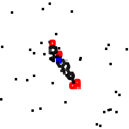 COc1ccc(C2(C(=O)N3CC=C4C(C)(C)C(c5ccc(C(=O)O)cc5)=CC[C@]4(C)C3)CC2)cc1